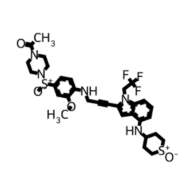 COc1cc([S+]([O-])N2CCN(C(C)=O)CC2)ccc1NCC#Cc1cc2c(NC3CC[S+]([O-])CC3)cccc2n1CC(F)(F)F